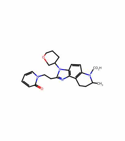 CC1CCc2c(ccc3c2nc(CCn2ccccc2=O)n3C2CCCOC2)N1C(=O)O